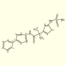 CCC(C)S(=O)(=O)Nc1nc(C(C)(C)C(=O)Nc2ncc(-c3cccnc3)cn2)cs1